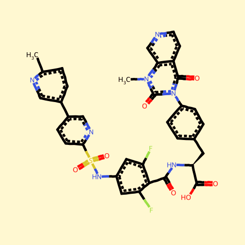 Cc1ccc(-c2ccc(S(=O)(=O)Nc3cc(F)c(C(=O)N[C@@H](Cc4ccc(-n5c(=O)c6ccncc6n(C)c5=O)cc4)C(=O)O)c(F)c3)nc2)cn1